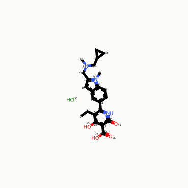 CCc1c(-c2ccc3c(c2)cc(CN(C)CC2CC2)n3C)[nH]c(=O)c(C(=O)O)c1O.Cl